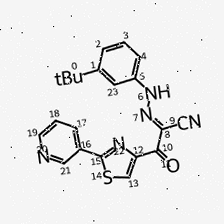 CC(C)(C)c1cccc(N/N=C(\C#N)C(=O)c2csc(-c3cccnc3)n2)c1